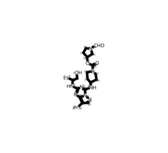 CCC(CO)Nc1nc(NC2CCN(C(=O)OC3CCN(C=O)C3)CC2)n2ncc(C(C)C)c2n1